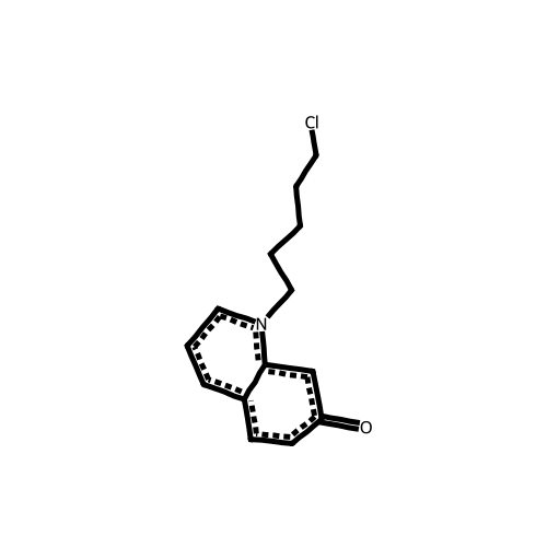 O=c1ccc2cccn(CCCCCCl)c-2c1